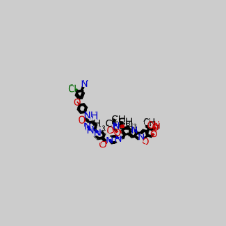 CC[C@@]1(O)C(=O)OCc2c1cc1n(c2=O)Cc2cc3c(CN4CCN(C(=O)C5CCN(c6ccc(C(=O)N[C@H]7CC[C@H](Oc8ccc(C#N)c(Cl)c8)CC7)nn6)CC5)CC4)c(OC(=O)N(C(C)C)C(C)C)ccc3nc2-1